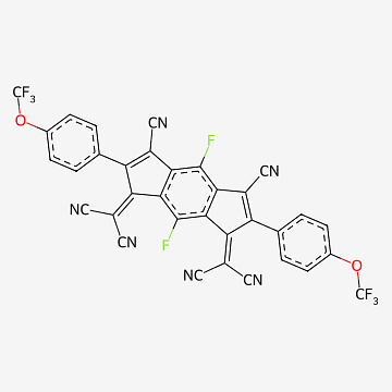 N#CC(C#N)=C1C(c2ccc(OC(F)(F)F)cc2)=C(C#N)c2c(F)c3c(c(F)c21)C(=C(C#N)C#N)C(c1ccc(OC(F)(F)F)cc1)=C3C#N